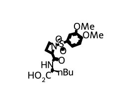 CCCC[C@H](NC(=O)C1CCN1S(=O)(=O)c1ccc(OC)c(OC)c1)C(=O)O